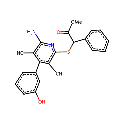 COC(=O)C(Sc1nc(N)c(C#N)c(-c2cccc(O)c2)c1C#N)c1ccccc1